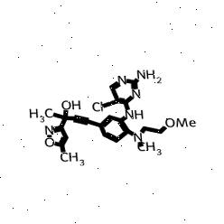 COCCN(C)c1ccc(C#CC(C)(O)c2cc(C)on2)cc1Nc1nc(N)ncc1Cl